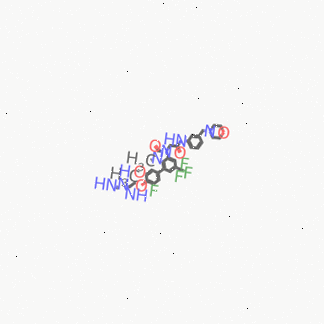 COc1cc(-c2cc(C(F)(F)F)cc3c2n(C)c(=O)n3CC(=O)Nc2cccc(CN3CCOCC3)c2)cc(F)c1OCC(=N)NC=N